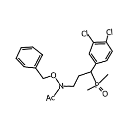 CC(=O)N(CCC(c1ccc(Cl)c(Cl)c1)P(C)(C)=O)OCc1ccccc1